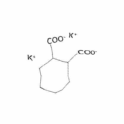 O=C([O-])C1CCCCC1C(=O)[O-].[K+].[K+]